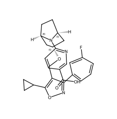 O=C(O)c1ccc(N2[C@@H]3CC[C@H]2C[C@H](OCc2c(-c4cccc(F)c4)noc2C2CC2)C3)nc1